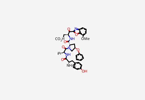 COc1cccc2nc(C(=O)[C@H](CC(=O)O)NC(=O)[C@@H]3C[C@@H](Oc4ccccc4)CN3C(=O)[C@@H](NC(=O)[C@H](Cc3ccc(O)cc3)NC(C)=O)C(C)C)oc12